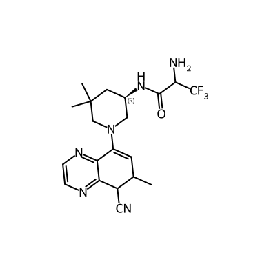 CC1C=C(N2C[C@H](NC(=O)C(N)C(F)(F)F)CC(C)(C)C2)c2nccnc2C1C#N